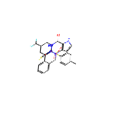 Cc1ccc(S(=O)(=O)N2CCC(C(F)F)CC2c2ccccc2CN2C(=C=S)NC(=O)c3[nH]ccc32)cc1